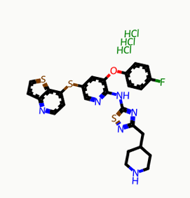 Cl.Cl.Cl.Fc1ccc(Oc2cc(Sc3ccnc4ccsc34)cnc2Nc2nc(CC3CCNCC3)ns2)cc1